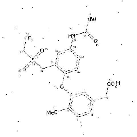 COc1ccc(CC(=O)O)cc1Oc1ccc(NC(=O)C(C)(C)C)cc1CS(=O)(=O)CC(F)(F)F